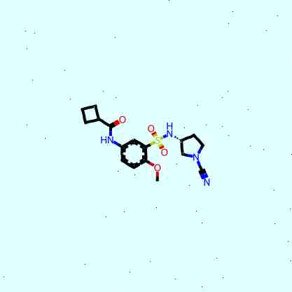 COc1ccc(NC(=O)C2CCC2)cc1S(=O)(=O)N[C@@H]1CCN(C#N)C1